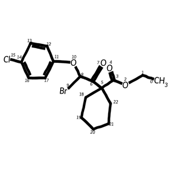 CCOC(=O)C1(C(=O)C(Br)Oc2ccc(Cl)cc2)CCCCC1